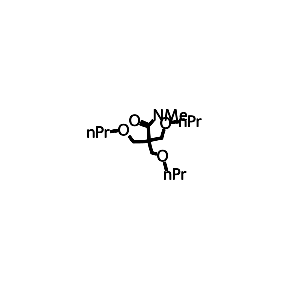 CCCOCC(COCCC)(COCCC)C(=O)NC